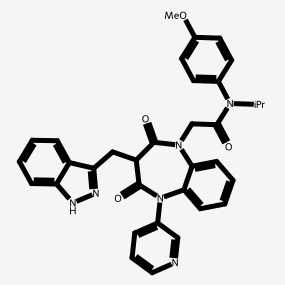 COc1ccc(N(C(=O)CN2C(=O)C(Cc3n[nH]c4ccccc34)C(=O)N(c3cccnc3)c3ccccc32)C(C)C)cc1